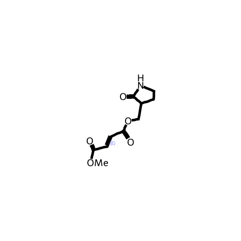 COC(=O)/C=C/C(=O)OCC1CCNC1=O